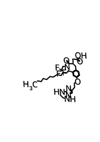 CCCCCCCCCCCC1c2cc(OCCc3cn4c(n3)NCCN4)ccc2CC(CC(=O)O)C(=O)N1CC(F)(F)F